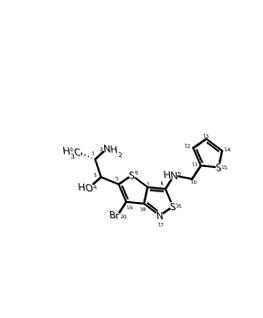 C[C@H](N)C(O)c1sc2c(NCc3cccs3)snc2c1Br